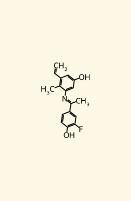 C=Cc1cc(O)cc(/N=C(\C)c2ccc(O)c(F)c2)c1C